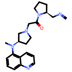 C=NC[C@@H]1CCCN1C(=O)CN1CC[C@@H](N(C)c2cccc3ncccc23)C1